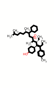 CC/C(C1=CC[C@@H](C)C=C1)=C(/[C@H]1CC[C@@H](O)CC1)[C@@H](CC)C(C)[C@H](O)CC(C1CCCCC1)[C@@H](C)CCCC(C)C